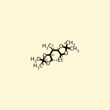 CCC1OC(C)(C)O[C@@H]1[C@H](C)C1COC(C)(C)O1